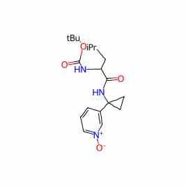 CC(C)CC(NC(=O)OC(C)(C)C)C(=O)NC1(c2ccc[n+]([O-])c2)CC1